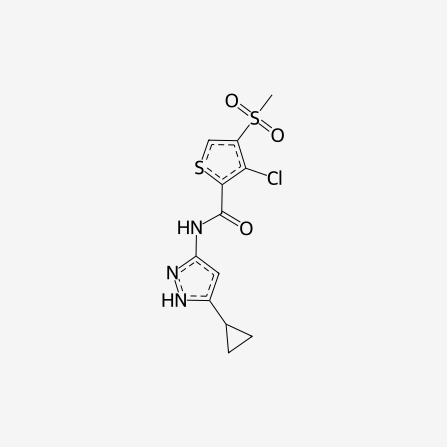 CS(=O)(=O)c1csc(C(=O)Nc2cc(C3CC3)[nH]n2)c1Cl